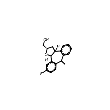 CC1c2ccccc2[C@H]2C[C@H](CO)O[C@@H]2c2cc(F)ccc21